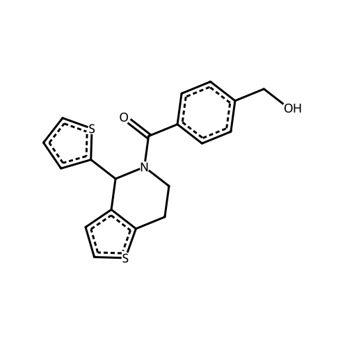 O=C(c1ccc(CO)cc1)N1CCc2sccc2C1c1cccs1